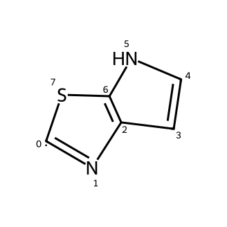 [c]1nc2cc[nH]c2s1